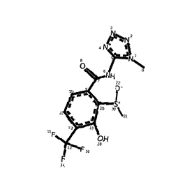 Cn1nnnc1NC(=O)c1ccc(C(F)(F)F)c(O)c1[S+](C)[O-]